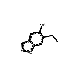 CCc1cc2oncc2cc1O